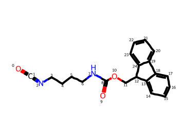 O=C=NCCCCNC(=O)OCC1c2ccccc2-c2ccccc21